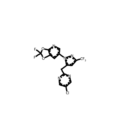 FC1(F)Oc2cc(-n3nc(C(F)(F)F)cc3Cc3ncc(Cl)cn3)cnc2O1